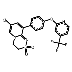 O=S1(=O)CCN2C=C(Cl)C=C(c3ccc(Oc4cc(C(F)(F)F)ccn4)cc3)C2=N1